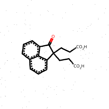 O=C(O)CCC1(CCC(=O)O)C(=O)c2cccc3cccc1c23